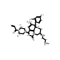 C=CC(=O)N1[C@H](C)CN(c2nc(=O)n3c4c(c(-c5ccc(F)cc5F)c(C(F)(F)F)cc24)SCC(NCCOC)C3)C[C@@H]1C